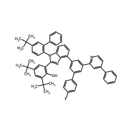 CC(C)(C)c1ccc(-n2c(-c3cc(C(C)(C)C)cc(C(C)(C)C)c3O)nc3c(-c4cc(-c5ccc(F)cc5)cc(-c5cc(-c6ccccc6)ccn5)c4)cccc32)c(-c2ccccc2)c1